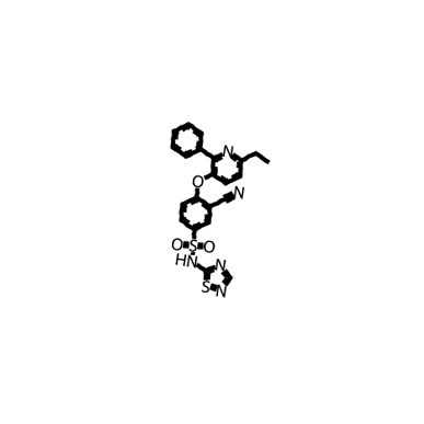 CCc1ccc(Oc2ccc(S(=O)(=O)Nc3ncns3)cc2C#N)c(-c2ccccc2)n1